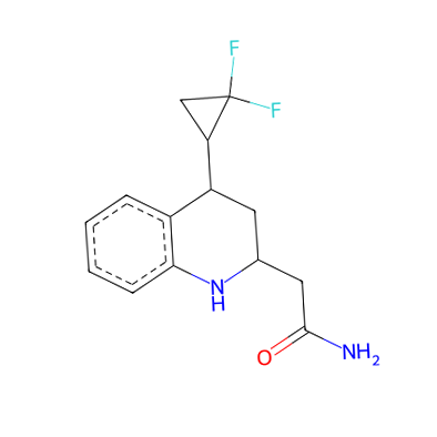 NC(=O)CC1CC(C2CC2(F)F)c2ccccc2N1